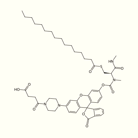 CCCCCCCCCCCCCCCC(=O)SC[C@@H](C(=O)NC)N(C)C(=O)Oc1ccc2c(c1)Oc1cc(N3CCN(C(=O)CCC(=O)O)CC3)ccc1C21OC(=O)c2ccccc21